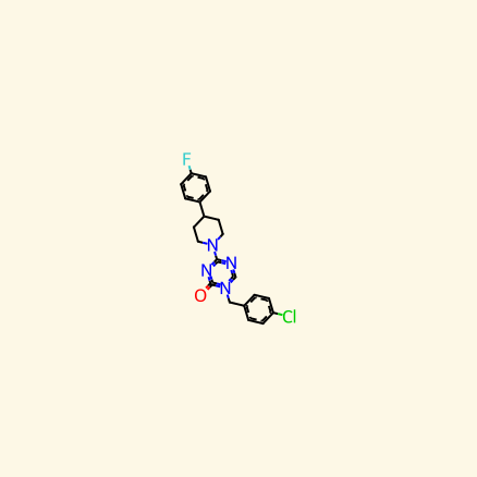 O=c1nc(N2CCC(c3ccc(F)cc3)CC2)ncn1Cc1ccc(Cl)cc1